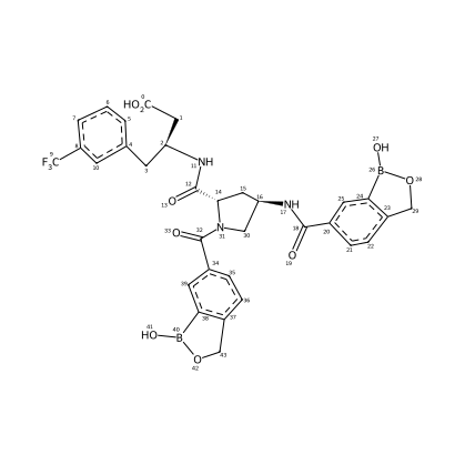 O=C(O)C[C@H](Cc1cccc(C(F)(F)F)c1)NC(=O)[C@@H]1C[C@@H](NC(=O)c2ccc3c(c2)B(O)OC3)CN1C(=O)c1ccc2c(c1)B(O)OC2